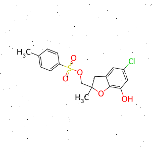 Cc1ccc(S(=O)(=O)OCC2(C)Cc3cc(Cl)cc(O)c3O2)cc1